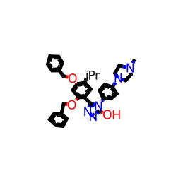 CC(C)c1cc(-c2nnc(O)n2-c2ccc(N3CCN(C)CC3)cc2)c(OCc2ccccc2)cc1OCc1ccccc1